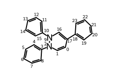 C1=CN(c2ccccc2)N(c2ccccc2)C=C1c1ccccc1